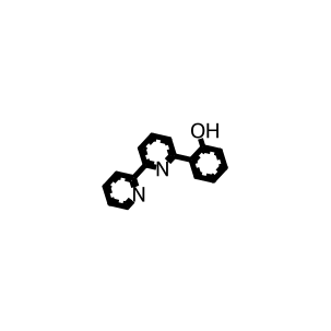 Oc1ccccc1-c1cccc(-c2ccccn2)n1